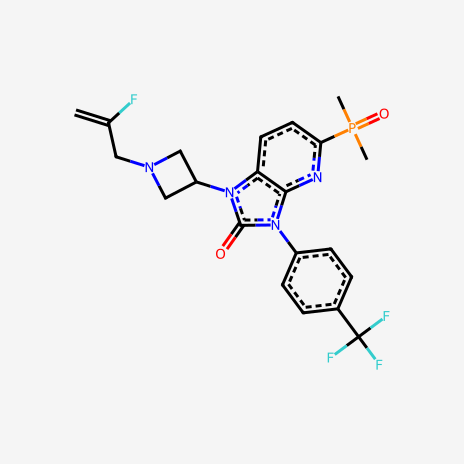 C=C(F)CN1CC(n2c(=O)n(-c3ccc(C(F)(F)F)cc3)c3nc(P(C)(C)=O)ccc32)C1